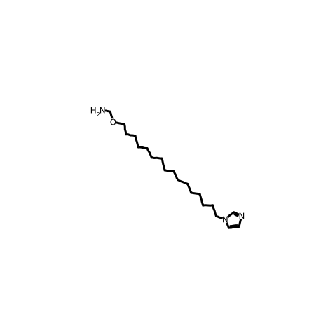 NCOCCCCCCCCCCCCCCCCn1ccnc1